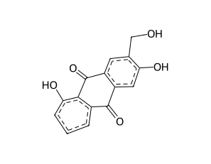 O=C1c2cc(O)c(CO)cc2C(=O)c2c(O)cccc21